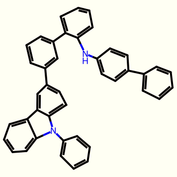 c1ccc(-c2ccc(Nc3ccccc3-c3cccc(-c4ccc5c(c4)c4ccccc4n5-c4ccccc4)c3)cc2)cc1